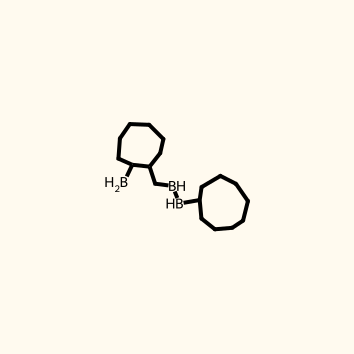 BC1CCCCCCC1CBBC1CCCCCCCC1